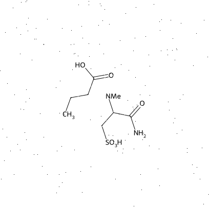 CCCC(=O)O.CNC(CS(=O)(=O)O)C(N)=O